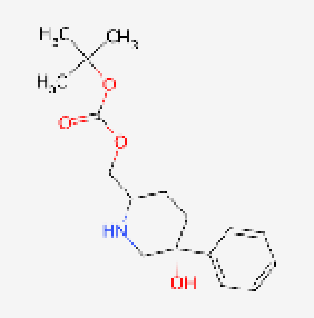 CC(C)(C)OC(=O)OCC1CCC(O)(c2ccccc2)CN1